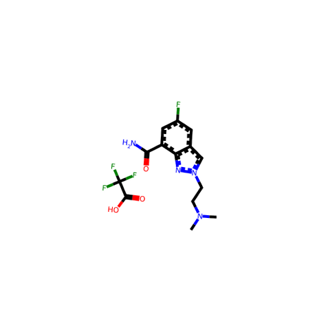 CN(C)CCn1cc2cc(F)cc(C(N)=O)c2n1.O=C(O)C(F)(F)F